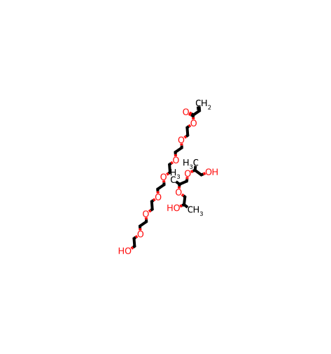 C=CC(=O)OCCOCCOCCOCCOCCOCCOCCO.CC(O)COC(C)COC(C)CO